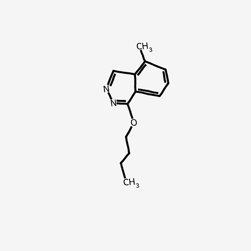 CCCCOc1nncc2c(C)cccc12